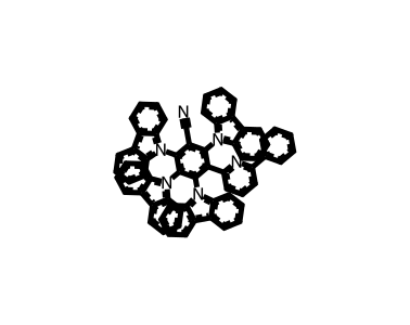 N#Cc1c(-n2c3ccccc3c3ccccc32)c(-c2cccc(-c3ccccc3)n2)c(-n2c3ccccc3c3ccccc32)c(-n2c3ccccc3c3ccccc32)c1-n1c2ccccc2c2ccccc21